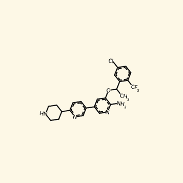 CC(Oc1cc(-c2ccc(C3CCNCC3)nc2)cnc1N)c1cc(Cl)ccc1C(F)(F)F